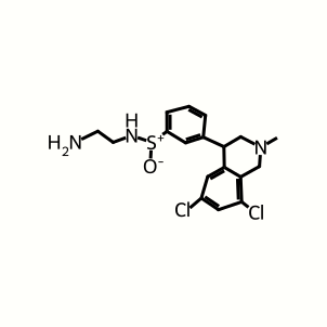 CN1Cc2c(Cl)cc(Cl)cc2C(c2cccc([S+]([O-])NCCN)c2)C1